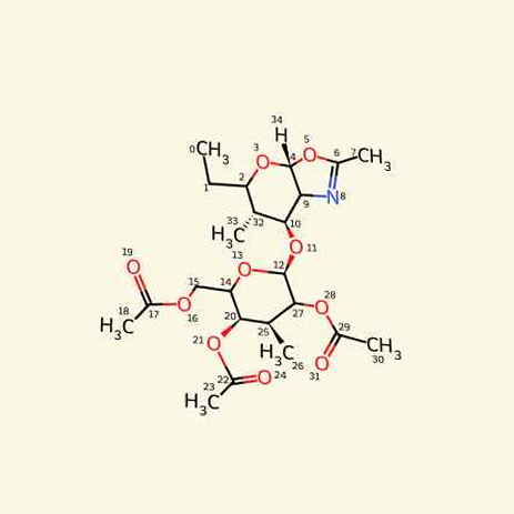 CCC1O[C@@H]2OC(C)=NC2[C@@H](O[C@@H]2OC(COC(C)=O)[C@H](OC(C)=O)[C@H](C)C2OC(C)=O)[C@@H]1C